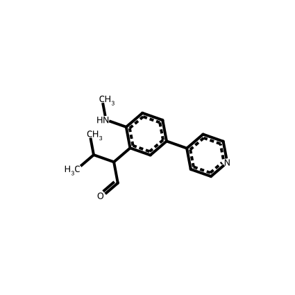 CNc1ccc(-c2ccncc2)cc1C(C=O)C(C)C